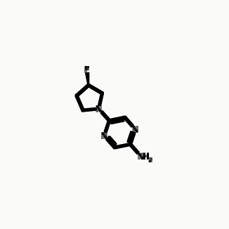 Nc1cnc(N2CC[C@@H](F)C2)cn1